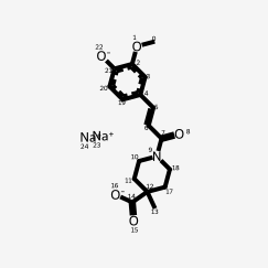 COc1cc(C=CC(=O)N2CCC(C)(C(=O)[O-])CC2)ccc1[O-].[Na+].[Na+]